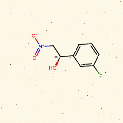 O=[N+]([O-])C[C@H](O)c1cccc(F)c1